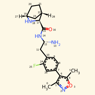 Cc1noc(C)c1-c1ccc(C[C@@H](N)NC(=O)[C@H]2N[C@@H]3CC[C@H]2C3)c(F)c1